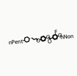 CCCCCCCCCOc1ccc(C(=O)Oc2ccc(OCCC[C@H]3CC[C@H](CCCCC)CC3)cc2)cc1F